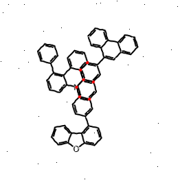 c1ccc(-c2ccccc2-c2c(-c3ccccc3)cccc2N(c2ccc(-c3cc4ccccc4c4ccccc34)cc2)c2ccc(-c3cccc4oc5ccccc5c34)cc2)cc1